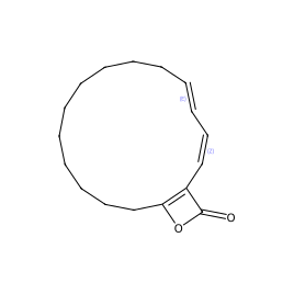 O=C1OC2=C1/C=C\C=C\CCCCCCCCCC2